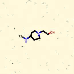 CCNC1CCN(CCO)CC1